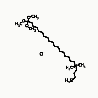 COC(CCCCCCCCCCCCCCCCC[N+](C)(C)CCC[SiH3])(OC)OC.[Cl-]